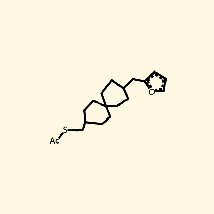 CC(=O)SCC1CCC2(CC1)CCC(Cc1ccco1)CC2